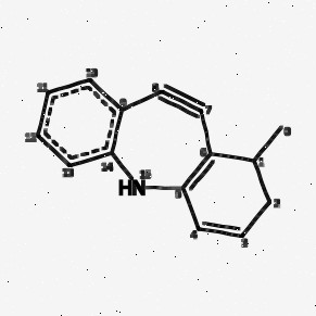 CC1CC=CC2=C1C#Cc1ccccc1N2